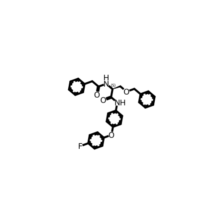 O=C(Cc1ccccc1)N[C@@H](COCc1ccccc1)C(=O)Nc1ccc(Oc2ccc(F)cc2)cc1